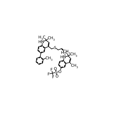 C=CCSCC1=CC(C)(C)Nc2ccc(-c3ccccc3C)cc21.CC1=CC(C)(C)Nc2ccc(OS(=O)(=O)C(F)(F)F)cc21